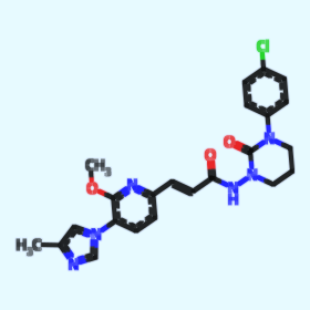 COc1nc(C=CC(=O)NN2CCCN(c3ccc(Cl)cc3)C2=O)ccc1-n1cnc(C)c1